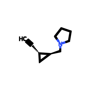 C#C[C@H]1C[C@@H]1CN1CCCC1